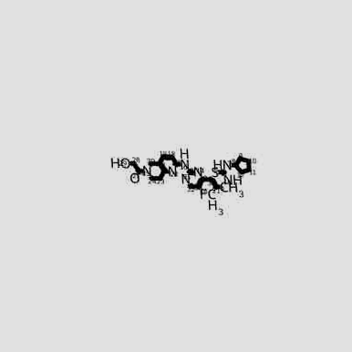 CC(C)=C(SC(=N)NC1CCCC1)c1nc(Nc2ccc3c(n2)CCN(C(=O)CO)C3)ncc1F